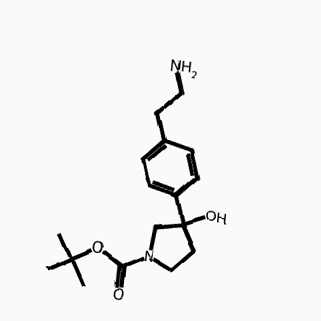 CC(C)(C)OC(=O)N1CCC(O)(c2ccc(CCN)cc2)C1